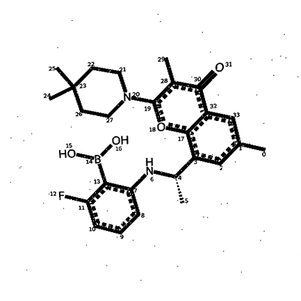 Cc1cc([C@H](C)Nc2cccc(F)c2B(O)O)c2oc(N3CCC(C)(C)CC3)c(C)c(=O)c2c1